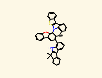 CC1(C)c2ccccc2-c2c1[nH]c1c(-c3cc4c(oc5ccccc54)c4c3Bc3cccc5c6c7ccccc7sc6n-4c35)cccc21